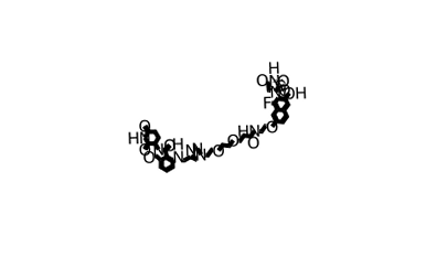 O=C(CCOCCOCCn1cc(CNc2cccc3c2C(=O)N(C2CCC(=O)NC2=O)C3=O)nn1)NCCOc1ccc2cc(O)c(N3CC(=O)NS3(=O)=O)c(F)c2c1